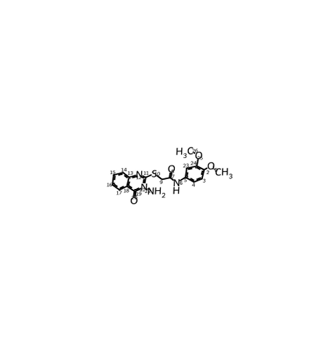 COc1ccc(NC(=O)CSc2nc3ccccc3c(=O)n2N)cc1OC